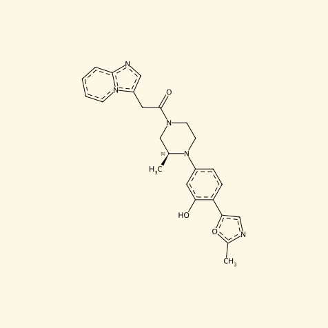 Cc1ncc(-c2ccc(N3CCN(C(=O)Cc4cnc5ccccn45)C[C@@H]3C)cc2O)o1